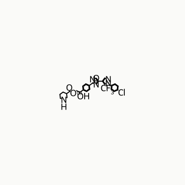 O=C(OC[C@@H](O)c1ccc(-c2noc(-c3cnn(-c4ccc(Cl)cc4)c3C(F)(F)F)n2)cc1)C1CCCNC1